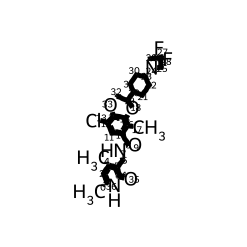 Cc1cc(C)c(CNC(=O)c2cc(Cl)c3c(c2C)OC(C2CCC(N4CC(F)(F)C4)CC2)CO3)c(=O)[nH]1